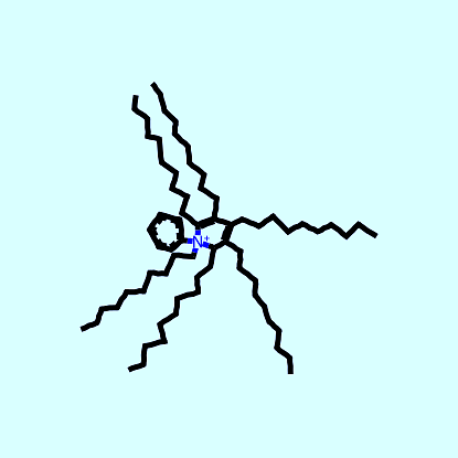 CCCCCCCCCCC1=C(CCCCCCCCCC)C(CCCCCCCCCC)[N+](CCCCCCCCCC)(c2ccccc2)C(CCCCCCCCCC)=C1CCCCCCCCCC